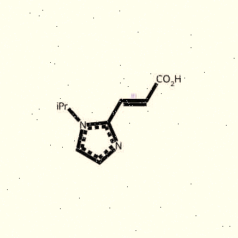 CC(C)n1ccnc1/C=C/C(=O)O